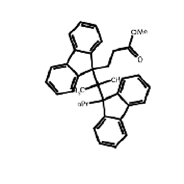 CCCC1(C(C)(C)C2(CCC(=O)OC)c3ccccc3-c3ccccc32)c2ccccc2-c2ccccc21